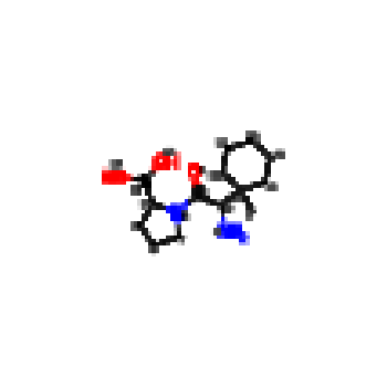 CC1(C(N)C(=O)N2CCCC2B(O)O)CCCCC1